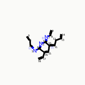 C=C/C=N\C1=NC(=N/C=C)/C(=C\CC=C)C=C1C=C